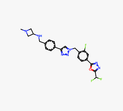 CN1CC(NCc2ccc(-c3cn(Cc4ccc(-c5nnc(C(F)F)o5)cc4F)nn3)cc2)C1